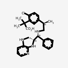 C[C@@H](CN[C@H](c1ccccc1)[C@H]1CNc2cccnc2N1)c1ccc(Cl)c(C(C)(C)C(=O)O)c1